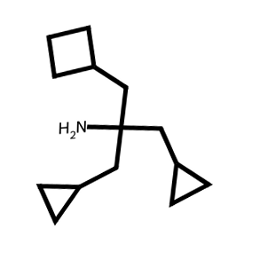 NC(CC1CCC1)(CC1CC1)CC1CC1